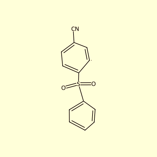 N#Cc1c[c]c(S(=O)(=O)c2ccccc2)cc1